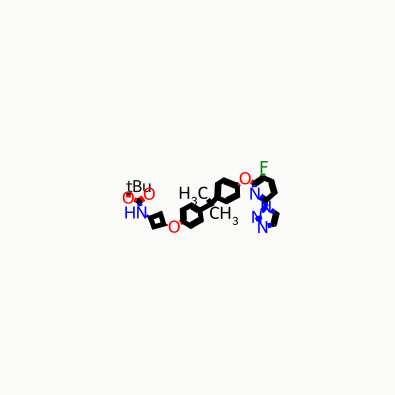 CC(C)(C)OC(=O)N[C@H]1C[C@H](Oc2ccc(C(C)(C)c3ccc(Oc4nc(-n5ccnn5)ccc4F)cc3)cc2)C1